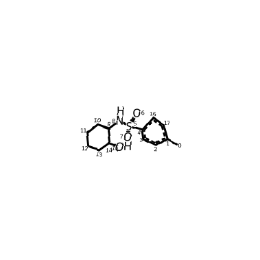 Cc1ccc(S(=O)(=O)NC2CCCCC2O)cc1